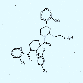 CCC[C@H]1N(C(=O)c2ncccc2C(F)(F)F)CCC[C@@]1(Oc1csc(C(F)(F)F)c1)C(=O)N1CC[C@@H](c2ccccc2OC)C[C@@H]1CCC(=O)O